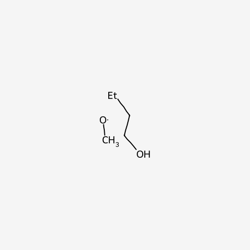 C[O].[CH2]CCCO